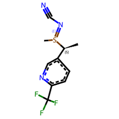 C[C@@H](c1ccc(C(F)(F)F)nc1)/S(C)=N/C#N